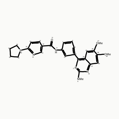 CNc1nc(-c2cccc(NC(=O)c3ccc(N4CCCC4)nc3)c2)c2cc(OC)c(OC)cc2n1